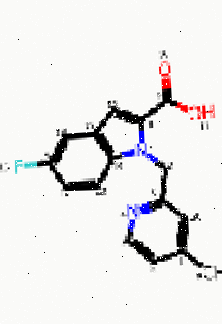 Cc1ccnc(Cn2c(C(=O)O)cc3cc(F)ccc32)c1